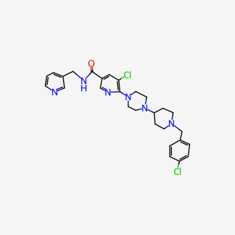 O=C(NCc1cccnc1)c1cnc(N2CCN(C3CCN(Cc4ccc(Cl)cc4)CC3)CC2)c(Cl)c1